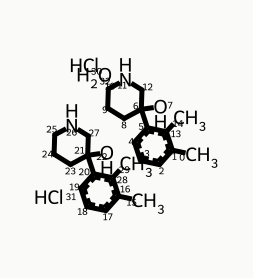 Cc1cccc(C2(O)CCCNC2)c1C.Cc1cccc(C2(O)CCCNC2)c1C.Cl.Cl.O